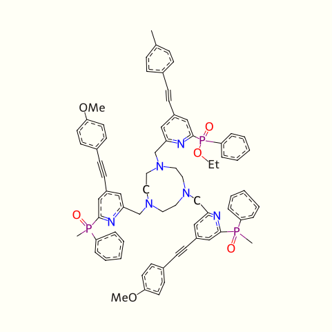 CCOP(=O)(c1ccccc1)c1cc(C#Cc2ccc(C)cc2)cc(CN2CCN(Cc3cc(C#Cc4ccc(OC)cc4)cc(P(C)(=O)c4ccccc4)n3)CCN(Cc3cc(C#Cc4ccc(OC)cc4)cc(P(C)(=O)c4ccccc4)n3)CC2)n1